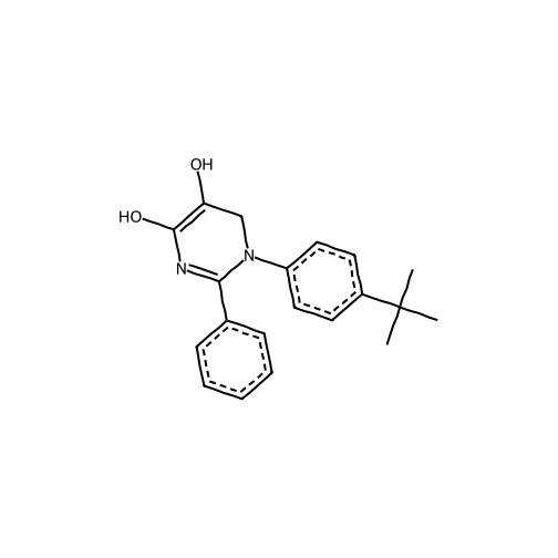 CC(C)(C)c1ccc(N2CC(O)=C(O)N=C2c2ccccc2)cc1